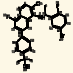 CC(Nc1c(Cl)cnc2c(F)cc(-c3cnc(C(C)(C)O)nc3)cc12)c1cc(Br)ccc1F